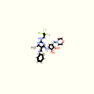 Cc1nc(NCC(F)(F)F)nc(N[C@@H]2C[C@H](CN3CCOCC3)[C@@H](O)[C@H]2O)c1-c1nc2ccccc2s1